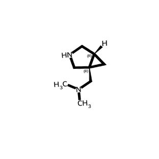 CN(C)C[C@@]12CNC[C@@H]1C2